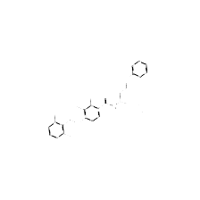 Cc1cccc(C)c1COc1ccc(C(=O)NC(CCOc2ccccc2)C(=O)O)c(C)c1C